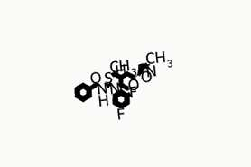 Cc1cc([C@H]2C[C@H]3[C@@H](C)SC(NC(=O)c4ccccc4)=N[C@@]3(c3ccc(F)cc3F)CO2)on1